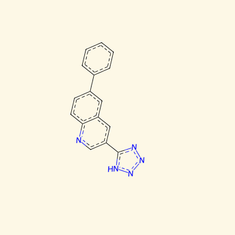 c1ccc(-c2ccc3ncc(-c4nnn[nH]4)cc3c2)cc1